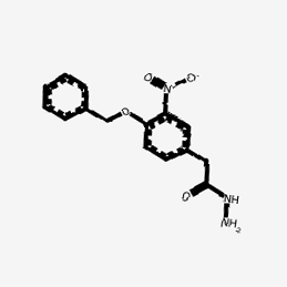 NNC(=O)Cc1ccc(OCc2ccccc2)c([N+](=O)[O-])c1